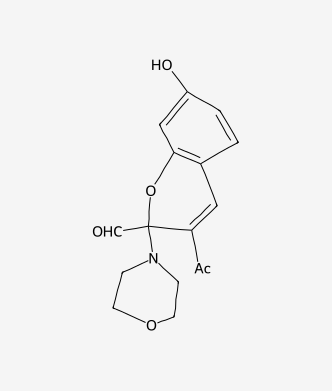 CC(=O)C1=Cc2ccc(O)cc2OC1(C=O)N1CCOCC1